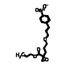 CCCOC(=O)C1(CCCOCCCc2ccc([N+](=O)[O-])cc2)CO1